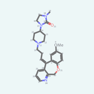 COc1ccc2c(c1)C(=CCCN1CCC(N3CCN(C)C3=O)CC1)c1cccnc1CO2